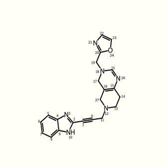 C(#Cc1nc2ccccc2[nH]1)CN1CCC2=C(CN(Cc3ncco3)C=N2)C1